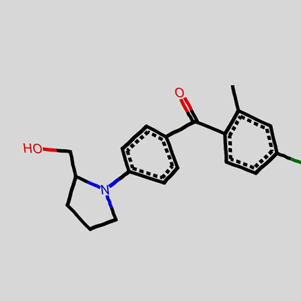 Cc1cc(Cl)ccc1C(=O)c1ccc(N2CCCC2CO)cc1